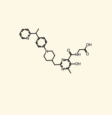 Cc1nc(CC2CCN(c3ccc(C(C)c4ccccn4)cc3)CC2)nc(C(=O)NCC(=O)O)c1O